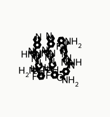 Cc1cc(-c2n[nH]c3nc(N4CC[C@@H]5[C@H](C4)[C@@]5(CN)c4ccccc4F)cnc23)ccc1C(N)=O.NC[C@]1(c2ccccc2F)[C@@H]2CCN(c3cnc4c(-c5ccc6ccncc6c5)n[nH]c4n3)C[C@@H]21.NC[C@]1(c2ccccc2F)[C@@H]2CCN(c3cnc4c(-c5ccc6cnccc6c5)n[nH]c4n3)C[C@@H]21